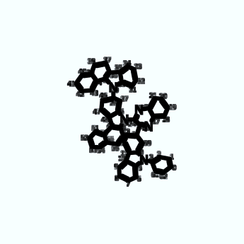 c1ccc(-n2c3ccccc3c3ccc(-c4nc5ccccc5nc4-n4c5cc(-n6c7ccccc7c7ccc8ccccc8c76)ccc5c5c6ccccc6ccc54)cc32)cc1